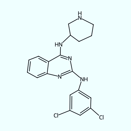 Clc1cc(Cl)cc(Nc2nc(NC3CCCNC3)c3ccccc3n2)c1